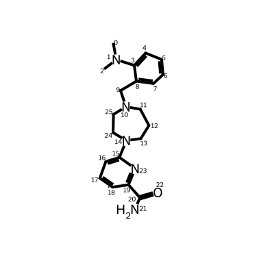 CN(C)c1ccccc1CN1CCCN(c2cc[c]c(C(N)=O)n2)CC1